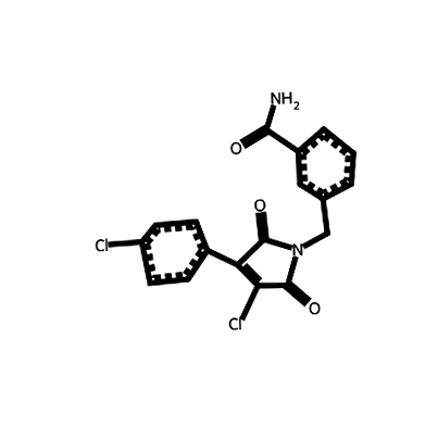 NC(=O)c1cccc(CN2C(=O)C(Cl)=C(c3ccc(Cl)cc3)C2=O)c1